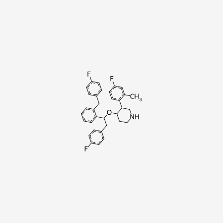 Cc1cc(F)ccc1C1CNCCC1OC(Cc1ccc(F)cc1)c1ccccc1Cc1ccc(F)cc1